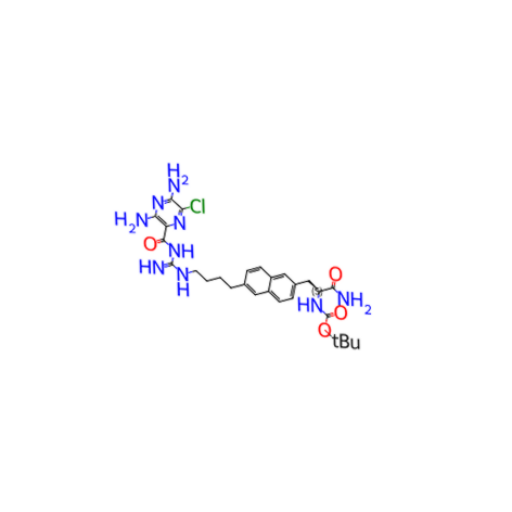 CC(C)(C)OC(=O)N[C@@H](Cc1ccc2cc(CCCCNC(=N)NC(=O)c3nc(Cl)c(N)nc3N)ccc2c1)C(N)=O